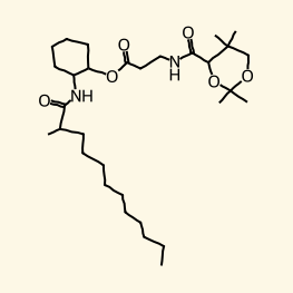 CCCCCCCCCCC(C)C(=O)NC1CCCCC1OC(=O)CCNC(=O)C1OC(C)(C)OCC1(C)C